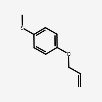 C=CCOc1ccc(SC)cc1